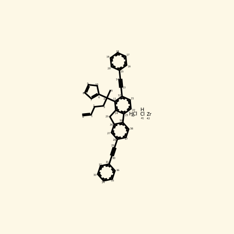 C=CCCC(C)(C1=CC=CC1)c1c(C#Cc2ccccc2)ccc2c1Cc1cc(C#Cc3ccccc3)ccc1-2.Cl.Cl.[Zr]